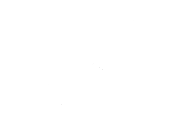 COC(=O)c1cc(C2CC2)cc2onc(COCc3ccccc3)c12